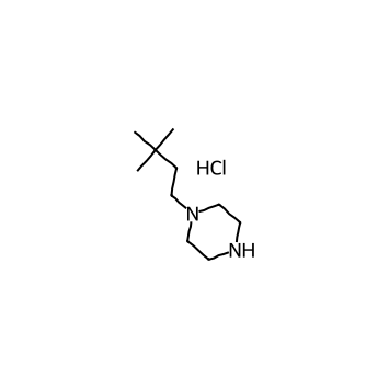 CC(C)(C)CCN1CCNCC1.Cl